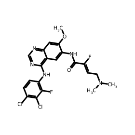 COc1cc2ncnc(Nc3ccc(Cl)c(Cl)c3F)c2cc1NC(=O)C(F)=CCN(C)C